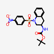 CC(C)(C)OC(=O)NC1Cc2ccccc2N(S(=O)(=O)c2ccc([N+](=O)[O-])cc2)C1